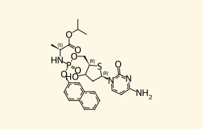 CC(C)OC(=O)[C@H](C)NP(=O)(OC[C@H]1S[C@@H](n2ccc(N)nc2=O)CC1O)Oc1ccc2ccccc2c1